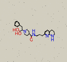 O=C(NCCCc1ccc2c(n1)NCCC2)C1CCN(C(Cc2ccccc2)C(O)O)CC1